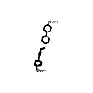 CCCCCc1ccc(C#CC=C[C@H]2CC[C@H]([C@H]3CC[C@H](CCCCC)CC3)CC2)cc1